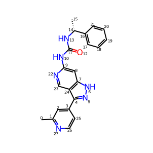 Cc1cc(-c2n[nH]c3cc(NC(=O)N[C@H](C)c4ccccc4)ncc23)ccn1